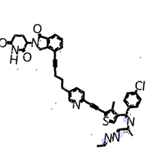 C/C=N/N=C/[C@H](C)/N=C(/c1ccc(Cl)cc1)c1csc(C#Cc2ccc(CCCC#Cc3cccc4c3CN(C3CCC(=O)NC3=O)C4=O)cn2)c1C